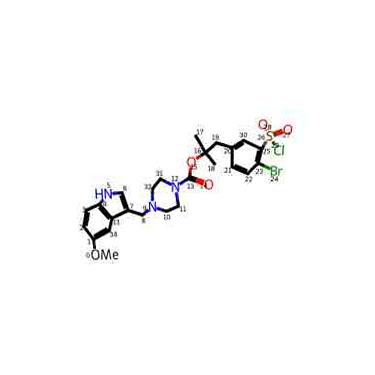 COc1ccc2[nH]cc(CN3CCN(C(=O)OC(C)(C)Cc4ccc(Br)c(S(=O)(=O)Cl)c4)CC3)c2c1